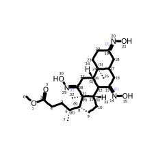 COC(=O)CC[C@@H](C)[C@H]1CC[C@H]2C3/C(=N/O)CC4C/C(=N\O)CC[C@]4(C)[C@H]3C/C(=N\O)[C@]12C